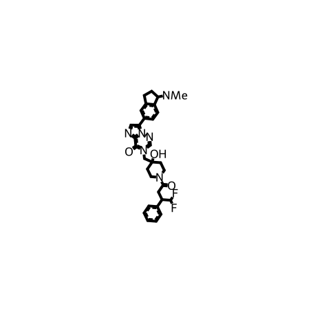 CNC1CCc2cc(-c3cnc4c(=O)n(CC5(O)CCN(C(=O)CC(c6ccccc6)C(F)F)CC5)cnn34)ccc21